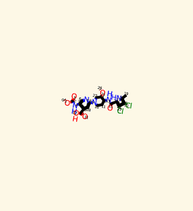 COC(=O)Nc1cnc(N2CCC(NC(=O)c3[nH]c(C)c(Cl)c3Cl)C(OC)C2)cc1C(=O)O